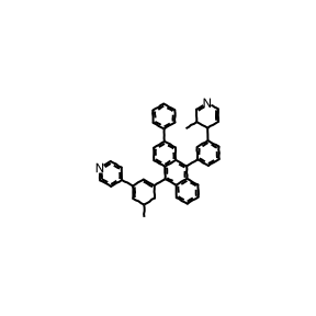 CC1C=C(c2ccncc2)C=C(c2c3ccccc3c(-c3cccc(C4C=CN=CC4C)c3)c3cc(-c4ccccc4)ccc23)C1